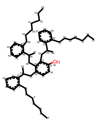 CCCCCCCc1ccccc1C(C)Cc1ccc(O)c(CC(C)c2ccccc2CCCCCCC)c1CC(C)c1ccccc1CCCCCCC